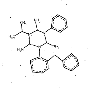 CC(C)N1C(N)N(c2ccccc2)C(N)N(c2ccccc2Cc2ccccc2)C1N